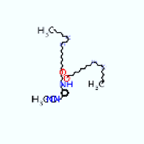 CCCCC/C=C\C/C=C\CCCCCCCCOCC(CNCc1cccc(CN2CCN(C)CC2)c1)OCCCCCCCC/C=C\C/C=C\CCCCC